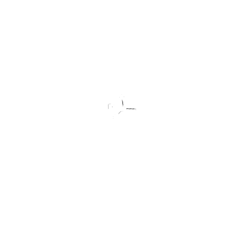 [Fe+3].[O-]B([O-])[O-]